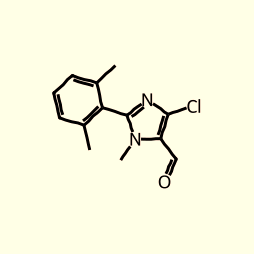 Cc1cccc(C)c1-c1nc(Cl)c(C=O)n1C